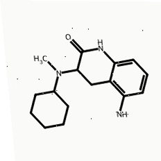 CN(C1CCCCC1)C1Cc2c([NH])cccc2NC1=O